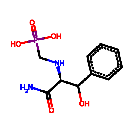 NC(=O)[C@@H](NCP(=O)(O)O)C(O)c1ccccc1